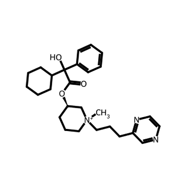 C[N+]1(CCCc2cnccn2)CCC[C@@H](OC(=O)C(O)(c2ccccc2)C2CCCCC2)C1